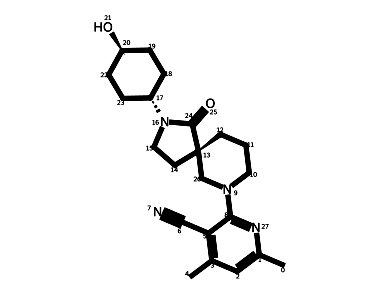 Cc1cc(C)c(C#N)c(N2CCC[C@]3(CCN([C@H]4CC[C@H](O)CC4)C3=O)C2)n1